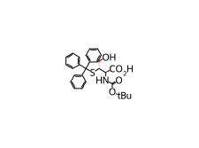 CC(C)(C)OC(=O)N[C@H](C(=O)O)[C@@H](CO)SC(c1ccccc1)(c1ccccc1)c1ccccc1